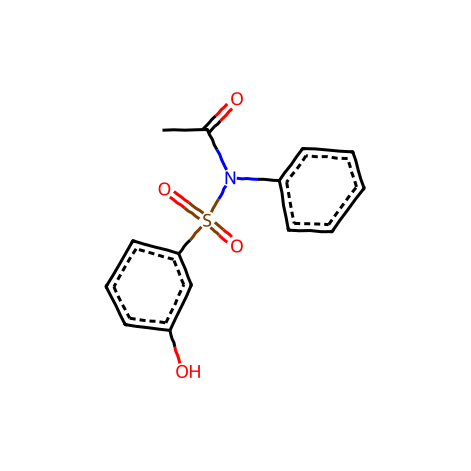 CC(=O)N(c1ccccc1)S(=O)(=O)c1cccc(O)c1